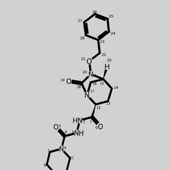 O=C(NNC(=O)N1CCOCC1)[C@@H]1CC[C@@H]2CN1C(=O)N2OCc1ccccc1